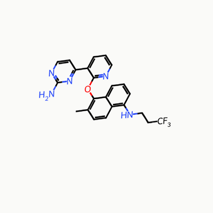 Cc1ccc2c(NCCC(F)(F)F)cccc2c1Oc1ncccc1-c1ccnc(N)n1